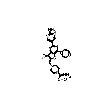 Cc1c(CN2CCN(C(N)C=O)CC2)sc2c(N3CCOCC3)nc(-c3cnc(N)nc3)nc12